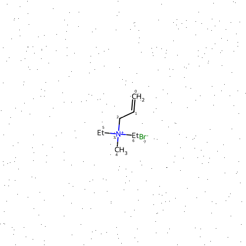 C=CC[N+](C)(CC)CC.[Br-]